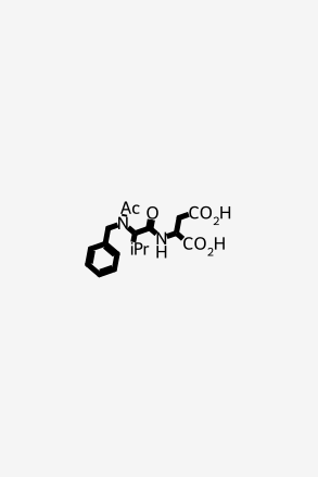 CC(=O)N(Cc1ccccc1)C(C(=O)NC(CC(=O)O)C(=O)O)C(C)C